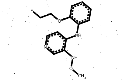 CONc1cnccc1Nc1ccccc1OCCF